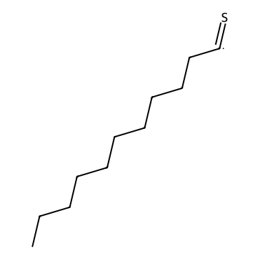 CCCCCCCCCC[C]=S